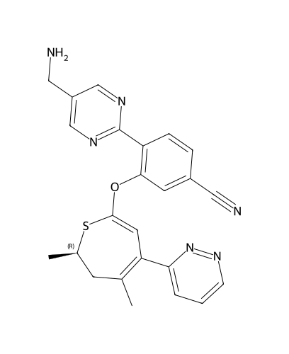 CC1=C(c2cccnn2)C=C(Oc2cc(C#N)ccc2-c2ncc(CN)cn2)S[C@H](C)C1